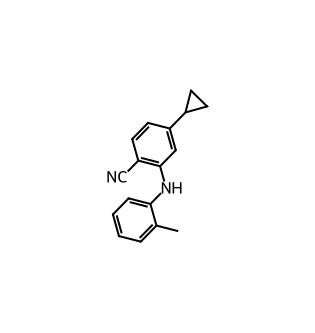 Cc1ccccc1Nc1cc(C2CC2)ccc1C#N